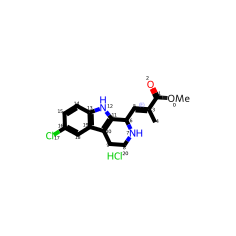 COC(=O)/C(C)=C/C1NCCc2c1[nH]c1ccc(Cl)cc21.Cl